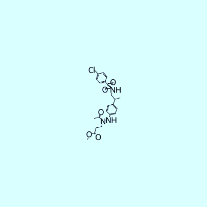 COC(=O)CCN(Nc1ccc(C(C)CNS(=O)(=O)c2ccc(Cl)cc2)cc1)C(C)=O